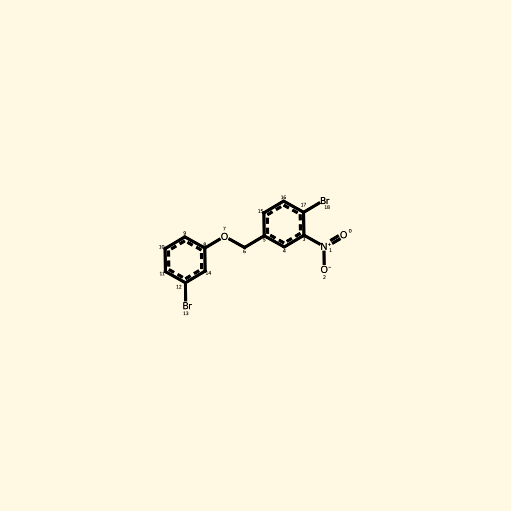 O=[N+]([O-])c1cc(COc2cccc(Br)c2)ccc1Br